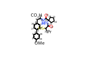 COc1ccc(-c2ccc(CC(NC(=O)C3(NC(=O)C(S)C(C)C)CCCC3)C(=O)O)cc2)cc1